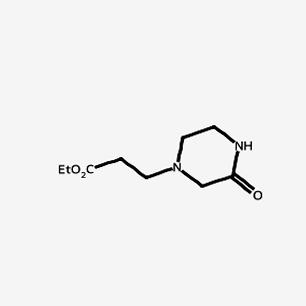 CCOC(=O)CCN1CCNC(=O)C1